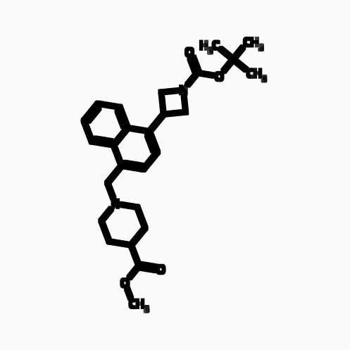 COC(=O)C1CCN(Cc2ccc(C3CN(C(=O)OC(C)(C)C)C3)c3ccccc23)CC1